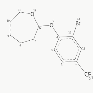 FC(F)(F)c1ccc(OC2CCCCCO2)c(Br)c1